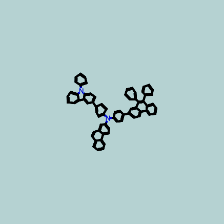 c1ccc(-c2c(-c3ccccc3)c3cc(-c4ccc(N(c5ccc(-c6ccc7c(c6)c6ccccc6n7-c6ccccc6)cc5)c5ccc6c(ccc7ccccc76)c5)cc4)ccc3c3ccccc23)cc1